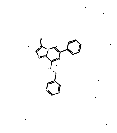 Brc1cnc2c(NCc3cncnc3)nc(-c3ccccc3)cn12